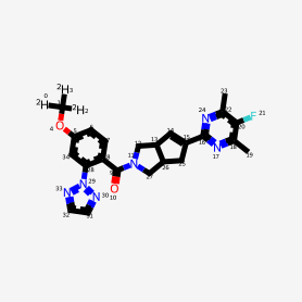 [2H]C([2H])([2H])Oc1ccc(C(=O)N2CC3C=C(c4nc(C)c(F)c(C)n4)CC3C2)c(-n2nccn2)c1